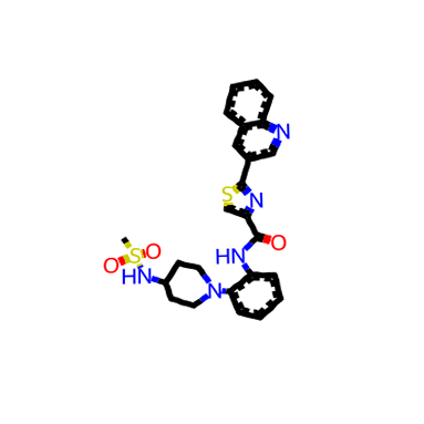 CS(=O)(=O)NC1CCN(c2ccccc2NC(=O)c2csc(-c3cnc4ccccc4c3)n2)CC1